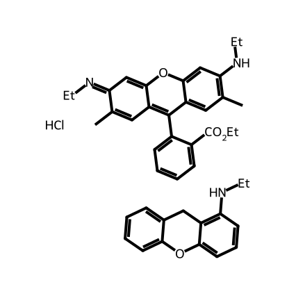 CC/N=c1/cc2oc3cc(NCC)c(C)cc3c(-c3ccccc3C(=O)OCC)c-2cc1C.CCNc1cccc2c1Cc1ccccc1O2.Cl